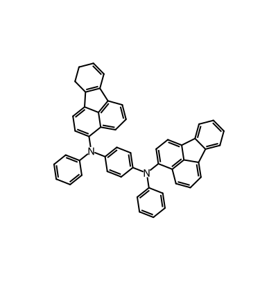 C1=CC2=C(CC1)c1ccc(N(c3ccccc3)c3ccc(N(c4ccccc4)c4ccc5c6c(cccc46)-c4ccccc4-5)cc3)c3cccc2c13